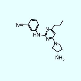 CCCc1cc(N2CC[C@H](N)C2)nc(Nc2cccc(C#N)c2)n1